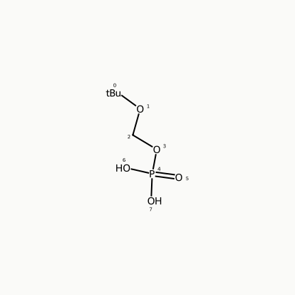 CC(C)(C)OCOP(=O)(O)O